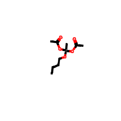 CCCCO[Si](C)(OC(C)=O)OC(C)=O